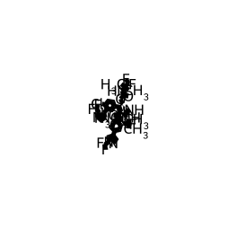 CC(C)(F)C[C@]1(C2(C)C=CC(c3cnn(C(F)F)c3)=CC2)NC(=N)N([C@H](COC(=O)NC(C)(C)C(F)F)c2ccc(Cl)c(-c3ncnn3C(F)F)c2)C1=O